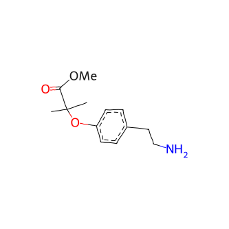 COC(=O)C(C)(C)Oc1ccc(CCN)cc1